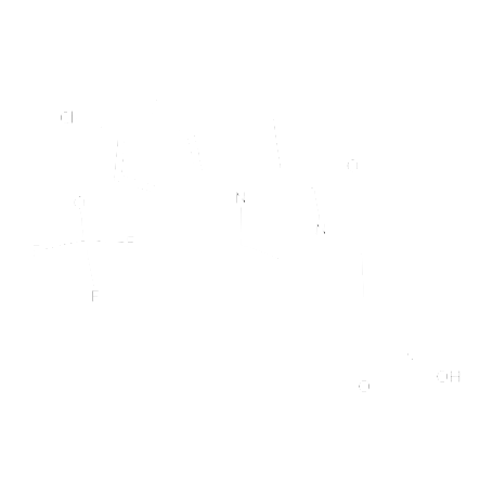 CC1C(=O)N(CCCC(=O)O)CCN1c1ccc(Cl)c(OC(F)(F)F)c1